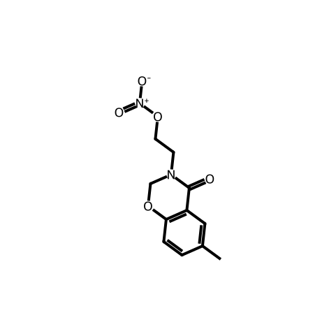 Cc1ccc2c(c1)C(=O)N(CCO[N+](=O)[O-])CO2